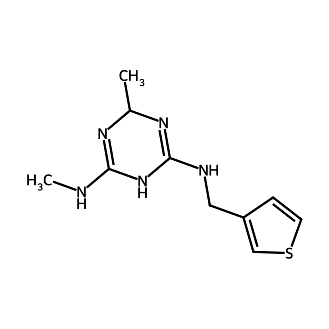 CNC1=NC(C)N=C(NCc2ccsc2)N1